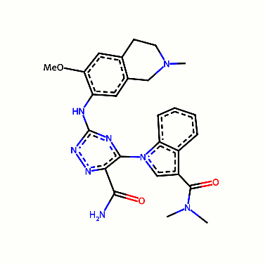 COc1cc2c(cc1Nc1nnc(C(N)=O)c(-n3cc(C(=O)N(C)C)c4ccccc43)n1)CN(C)CC2